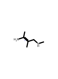 CNC/C(C)=C(\C)N